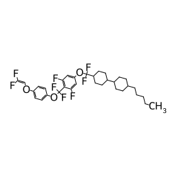 CCCCCC1CCC(C2CCC(C(F)(F)Oc3cc(F)c(C(F)(F)Oc4ccc(OC=C(F)F)cc4)c(F)c3)CC2)CC1